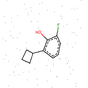 Oc1c(F)cccc1C1CCC1